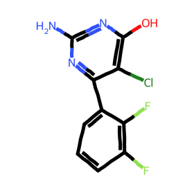 Nc1nc(O)c(Cl)c(-c2cccc(F)c2F)n1